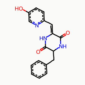 O=C1NC(Cc2ccccc2)C(=O)N/C1=C\c1ccc(O)cn1